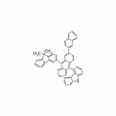 CC1(C)c2ccccc2-c2cc(-c3c4ccccc4c(-c4cccc5sc6ccccc6c45)c4ccc(-c5ccc6ccccc6c5)cc34)ccc21